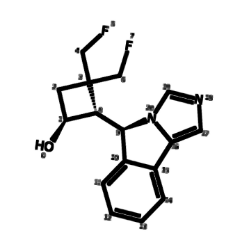 O[C@H]1CC(CF)(CF)[C@@H]1[C@@H]1c2ccccc2-c2cncn21